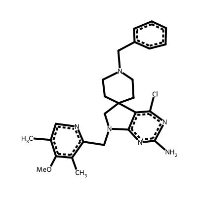 COc1c(C)cnc(CN2CC3(CCN(Cc4ccccc4)CC3)c3c(Cl)nc(N)nc32)c1C